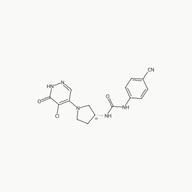 N#Cc1ccc(NC(=O)N[C@@H]2CCN(c3cn[nH]c(=O)c3Cl)C2)cc1